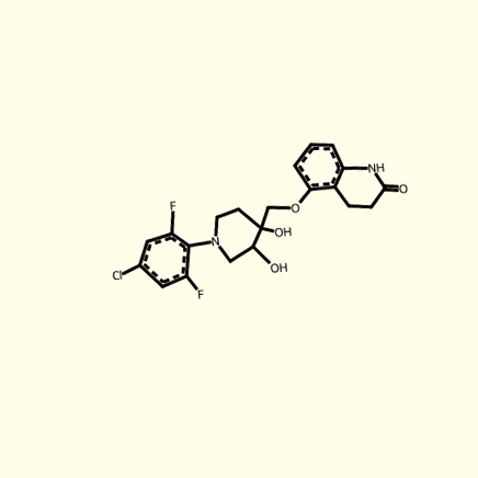 O=C1CCc2c(cccc2OCC2(O)CCN(c3c(F)cc(Cl)cc3F)CC2O)N1